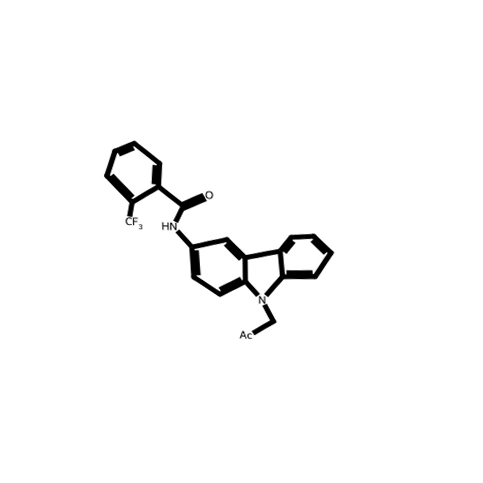 CC(=O)Cn1c2ccccc2c2cc(NC(=O)c3ccccc3C(F)(F)F)ccc21